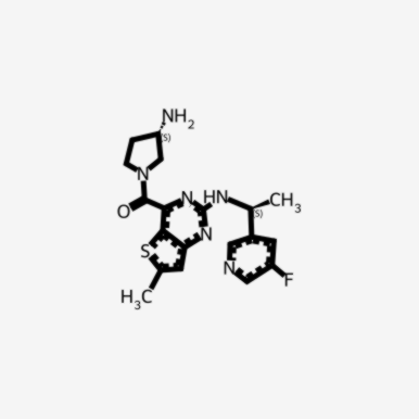 Cc1cc2nc(N[C@@H](C)c3cncc(F)c3)nc(C(=O)N3CC[C@H](N)C3)c2s1